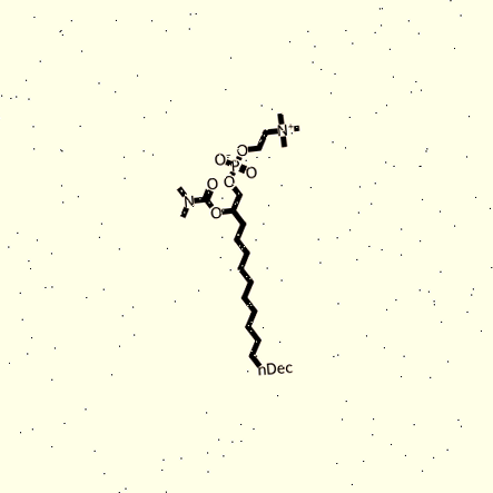 CCCCCCCCCCCCCCCCCCCCC(COP(=O)([O-])OCC[N+](C)(C)C)OC(=O)N(C)C